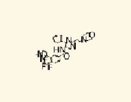 Cn1ccc(-c2cc(C(=O)Nc3cnc(CCN4CCOCC4)nc3-c3ccccc3)ccc2C(F)(F)F)n1